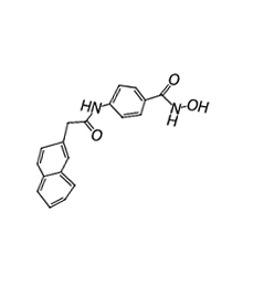 O=C(Cc1ccc2ccccc2c1)Nc1ccc(C(=O)NO)cc1